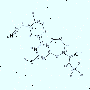 CSc1nc2c(c(N3CCN(C)[C@@H](CC#N)C3)n1)CCCN(C(=O)OC(C)(C)C)C2